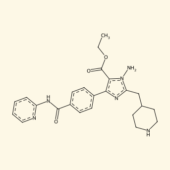 CCOC(=O)c1c(-c2ccc(C(=O)Nc3ccccn3)cc2)nc(CC2CCNCC2)n1N